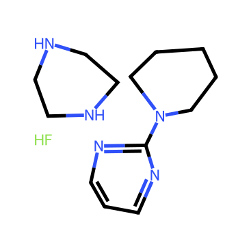 C1CNCCN1.F.c1cnc(N2CCCCC2)nc1